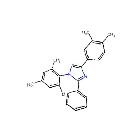 Cc1cc(C)c(-n2cc(-c3ccc(C)c(C)c3)nc2-c2ccccc2)c(C)c1